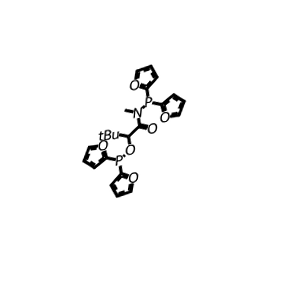 CN(C(=O)C(OP(c1ccco1)c1ccco1)C(C)(C)C)P(c1ccco1)c1ccco1